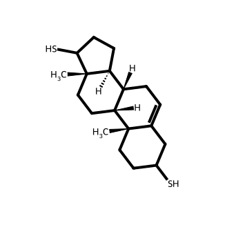 C[C@]12CCC(S)CC1=CC[C@@H]1[C@H]2CC[C@]2(C)C(S)CC[C@@H]12